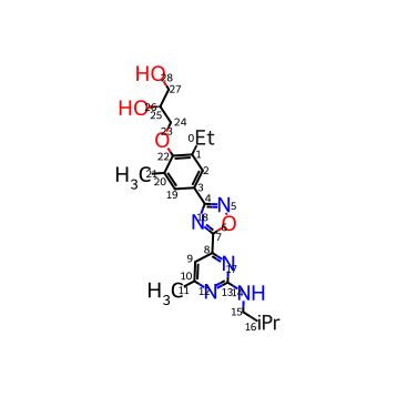 CCc1cc(-c2noc(-c3cc(C)nc(NCC(C)C)n3)n2)cc(C)c1OC[C@@H](O)CO